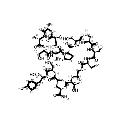 CC(C)C[C@H](NC(=O)[C@H](CO)NC(=O)[C@H](CO)NC(=O)[C@H](CO)NC(=O)[C@@H]1CCCN1C(=O)[C@@H](NC(=O)[C@@H](NC(=O)[C@@H](NC(=O)[C@@H](NC(=O)[C@@H](N)CO)C(C)C)C(C)C)[C@@H](C)O)C(C)C)C(=O)NCC(=O)N[C@H](C(=O)N[C@@H](CCC(N)=O)C(=O)N[C@H](C(=O)N[C@@H](Cc1ccc(O)cc1)C(=O)O)[C@@H](C)O)[C@@H](C)O